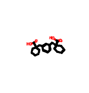 O=C(O)C1(Cc2cccc(CC3(C(=O)O)CCCCC3)c2)CCCCC1